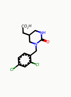 O=C(O)CC1CNC(=O)N(Cc2ccc(Cl)cc2Cl)C1